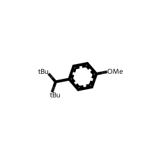 COc1ccc(C(C(C)(C)C)C(C)(C)C)cc1